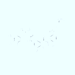 C=CCCNc1ccc(F)c(NC(=O)c2cc(NC(=O)[C@H]3[C@H](c4cc(Cl)c(Cl)c(Cl)c4)C3(Cl)Cl)cc(F)c2F)c1F